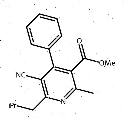 COC(=O)c1c(C)nc(CC(C)C)c(C#N)c1-c1ccccc1